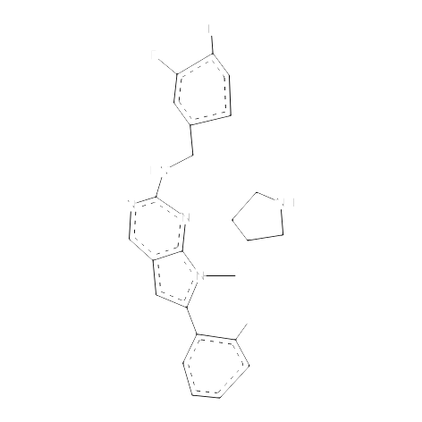 Fc1ccc(CNc2ncc3cc(-c4ccccc4Cl)n(C[C@@H]4CCNC4)c3n2)cc1F